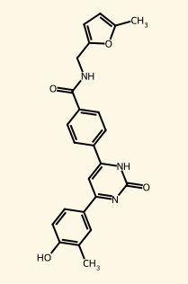 Cc1ccc(CNC(=O)c2ccc(-c3cc(-c4ccc(O)c(C)c4)nc(=O)[nH]3)cc2)o1